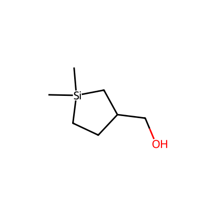 C[Si]1(C)CCC(CO)C1